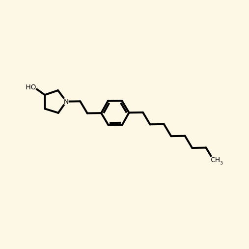 CCCCCCCCc1ccc(CCN2CCC(O)C2)cc1